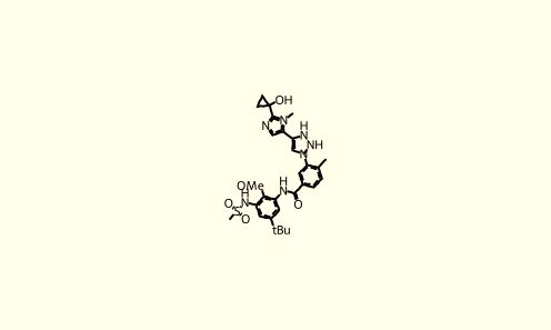 COc1c(NC(=O)c2ccc(C)c(N3C=C(c4cnc(C5(O)CC5)n4C)NN3)c2)cc(C(C)(C)C)cc1NS(C)(=O)=O